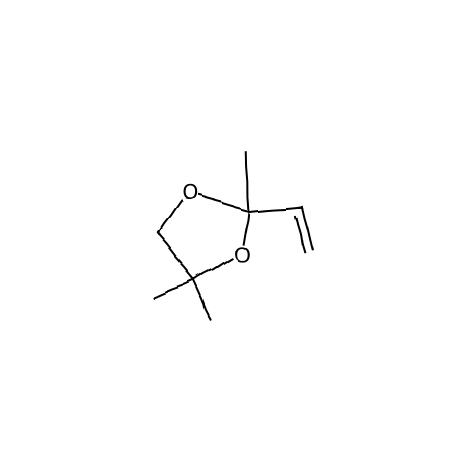 C=CC1(C)OCC(C)(C)O1